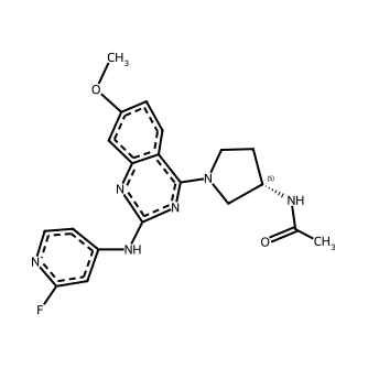 COc1ccc2c(N3CC[C@H](NC(C)=O)C3)nc(Nc3ccnc(F)c3)nc2c1